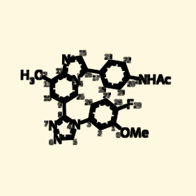 COc1cc(-n2cnnc2-c2cc(C)c3ncc(-c4ccc(NC(C)=O)cc4)n3c2)ccc1F